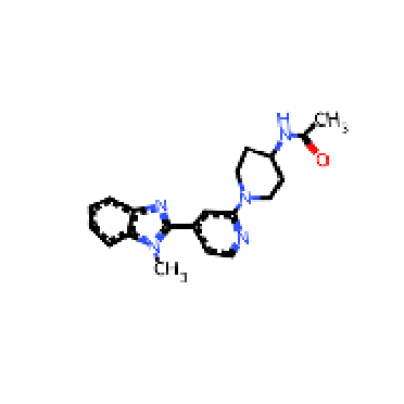 CC(=O)NC1CCN(c2cc(-c3nc4ccccc4n3C)ccn2)CC1